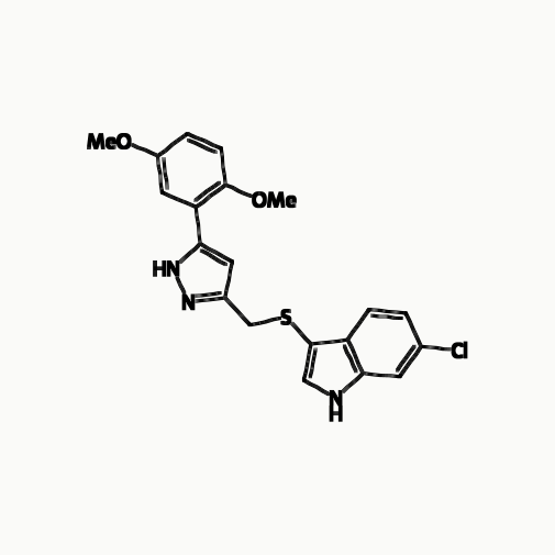 COc1ccc(OC)c(-c2cc(CSc3c[nH]c4cc(Cl)ccc34)n[nH]2)c1